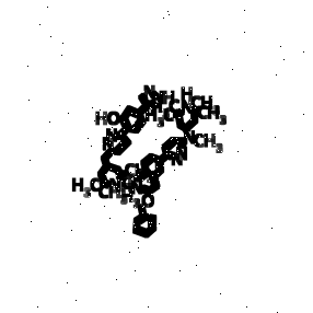 CC1(C)CC(Cc2ccc(-c3ccc(-c4cn[nH]c4)cc3O)nn2)CC(C)(C)N1.CN(c1ccc(-c2ccc3cnc(OCc4ccccc4)cc3c2)nn1)C1CC(C)(C)NC(C)(C)C1